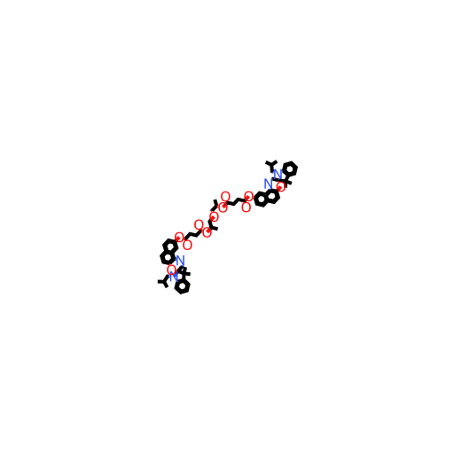 CC(C)CN1c2ccccc2C(C)(C)C12C=Nc1c(ccc3ccc(OC(=O)CCC(=O)OC(C)COCC(C)OC(=O)CCC(=O)Oc4ccc5ccc6c(c5c4)N=CC4(O6)N(CC(C)C)c5ccccc5C4(C)C)cc13)O2